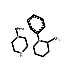 CC1CCCCN1c1ccccc1.CCCCCN1CCNCC1